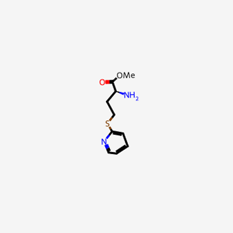 COC(=O)[C@@H](N)CCSc1ccccn1